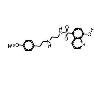 CCOc1ccc(S(=O)(=O)NCCNCCc2ccc(OC)cc2)c2cccnc12